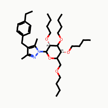 CCCCOCC1OC(n2nc(C)c(Cc3ccc(CC)cc3)c2C)[C@H](OCCCC)C(OCCCC)[C@@H]1OCCCC